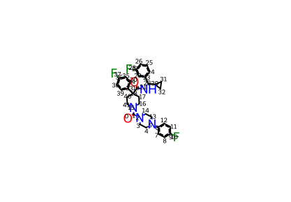 O=C(N1CCN(c2ccc(F)cc2)CC1)N1CCC(C(=O)N[C@H](c2cccc(F)c2)C2CC2)(c2ccc(F)cc2)CC1